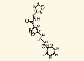 O=C(NCC1CCOC1)c1cc(CCCOc2ccccc2)on1